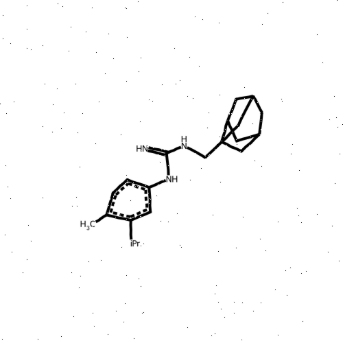 Cc1ccc(NC(=N)NCC23CC4CC(CC2C4)C3)cc1C(C)C